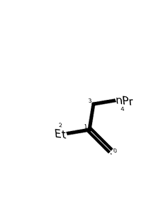 [CH]=C(CC)CCCC